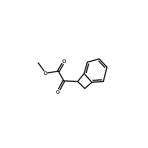 COC(=O)C(=O)C1Cc2ccccc21